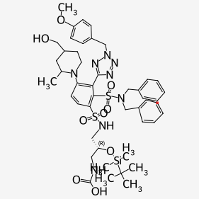 COc1ccc(Cn2nnc(-c3c(N4CCC(CO)CC4C)ccc(S(=O)(=O)NC[C@@H](CNC(=O)O)O[Si](C)(C)C(C)(C)C)c3S(=O)(=O)N(Cc3ccccc3)Cc3ccccc3)n2)cc1